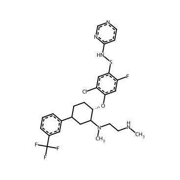 CNCCN(C)C1CC(c2cccc(C(F)(F)F)c2)CC[C@@H]1Oc1cc(F)c(SNc2ccncn2)cc1Cl